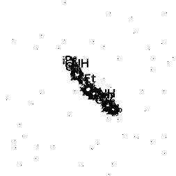 CCN(CC1CCN(C(=O)NC(C)C)CC1)C1CCc2ccc(NS(=O)(=O)c3ccc4ccccc4c3)cc2C1